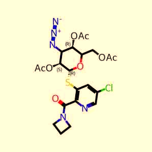 CC(=O)OCC1O[C@H](Sc2cc(Cl)cnc2C(=O)N2CCC2)[C@@H](OC(C)=O)C(N=[N+]=[N-])[C@H]1OC(C)=O